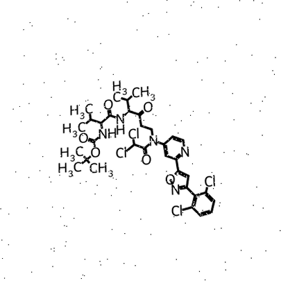 CC(C)C(NC(=O)OC(C)(C)C)C(=O)N[C@H](C(=O)CCN(C(=O)C(Cl)Cl)c1ccnc(-c2cc(-c3c(Cl)cccc3Cl)no2)c1)C(C)C